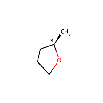 C[C@@H]1CCCO1